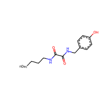 CCCCCCCCCCCCCNC(=O)C(=O)NCc1ccc(O)cc1